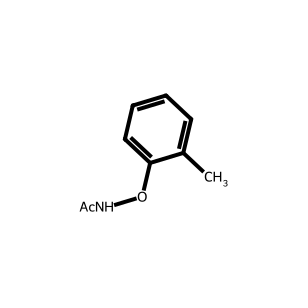 CC(=O)NOc1ccccc1C